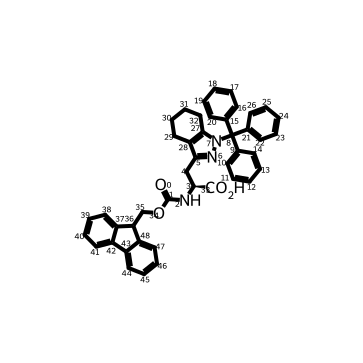 O=C(N[C@@H](Cc1nn(C(c2ccccc2)(c2ccccc2)c2ccccc2)c2c1CCCC2)C(=O)O)OCC1c2ccccc2-c2ccccc21